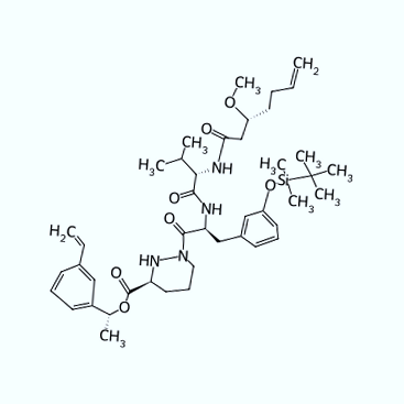 C=CCC[C@H](CC(=O)N[C@H](C(=O)N[C@@H](Cc1cccc(O[Si](C)(C)C(C)(C)C)c1)C(=O)N1CCC[C@@H](C(=O)O[C@H](C)c2cccc(C=C)c2)N1)C(C)C)OC